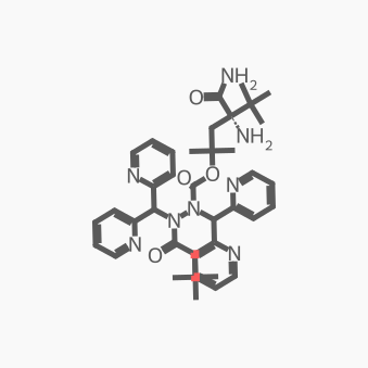 CC(C)(C)CC(=O)N(C(c1ccccn1)c1ccccn1)N(C(=O)OC(C)(C)C[C@@](N)(C(N)=O)C(C)(C)C)C(c1ccccn1)c1ccccn1